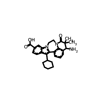 CC1(C)C(=O)N2CCn3c(c(C4CCCCC4)c4ccc(C(=O)O)cc43)-c3cccc(c32)C1N